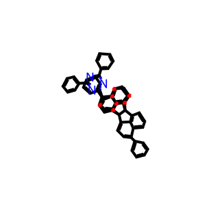 c1ccc(-c2nc(-c3ccccc3)nc(-c3ccc4c5c(cccc35)C35c6cccc7c(-c8ccccc8)ccc(c67)C43c3ccc(-c4ccccc4)c4cccc5c34)n2)cc1